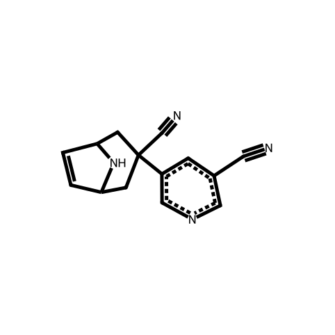 N#Cc1cncc(C2(C#N)CC3C=CC(C2)N3)c1